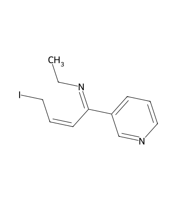 CC/N=C(\C=C/CI)c1cccnc1